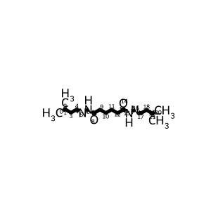 CC(C)C/C=N/NC(=O)CCCCC(=O)N/N=C/CC(C)C